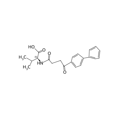 CC(C)[C@H](NC(=O)CCC(=O)c1ccc(-c2ccccc2)cc1)C(=O)O